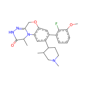 COc1cccc(-c2cc3c(cc2C2CCN(C)CC2C)N2C(=NNC(=O)C2C)CO3)c1F